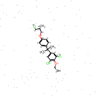 CC[C@H](C)COc1c(Cl)cc(C(C)(C)c2ccc(OC[C@@H](C)CCl)cc2)cc1Cl